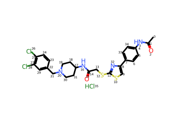 CC(=O)Nc1ccc(-c2csc(SCC(=O)NC3CCN(Cc4ccc(Cl)c(Cl)c4)CC3)n2)cc1.Cl